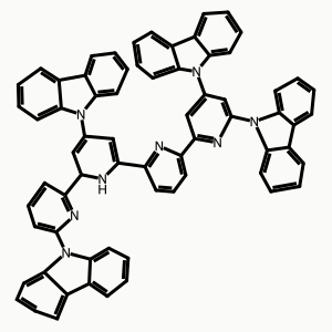 C1=C(c2cccc(-c3cc(-n4c5ccccc5c5ccccc54)cc(-n4c5ccccc5c5ccccc54)n3)n2)NC(c2cccc(-n3c4ccccc4c4ccccc43)n2)C=C1n1c2ccccc2c2ccccc21